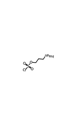 CCCCCCCCOS(=O)(=O)Cl